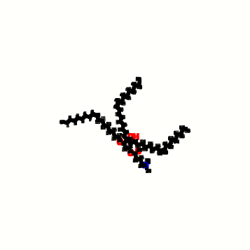 CCCCCCCC/C=C\CCCCCCCCOC(CCOC(=O)CCCN(C)C)C(O)(CCCCCCCC/C=C\CCCCCCCC)CCCCCCCC/C=C\CCCCCCCC